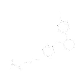 C=C(C)C(=O)OCCOc1ccc(Cc2ccccc2-c2ccc(OC)cc2)cc1